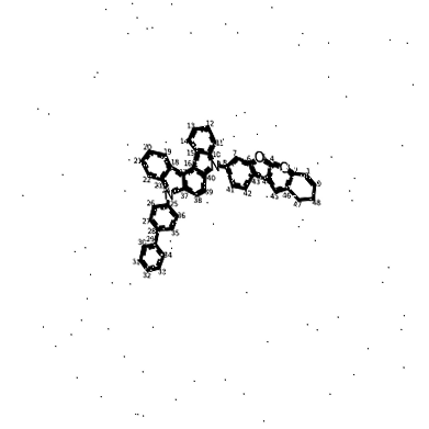 C1=Cc2cc3oc4cc(-n5c6ccccc6c6c7c8ccccc8n(-c8ccc(-c9ccccc9)cc8)c7ccc65)ccc4c3cc2CC1